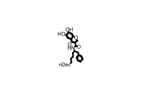 CCCCCCCCCCCCCCC([CH]c1ccccc1)NC(=O)c1coc2cc(O)c(O)cc2c1=O